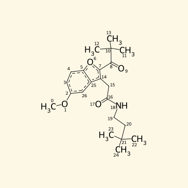 COc1ccc2oc(C(=O)C(C)(C)C)c(CC(=O)NCCC(C)(C)C)c2c1